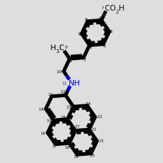 CC(=Cc1ccc(C(=O)O)cc1)CNC1CC=c2ccc3cccc4ccc1c2c43